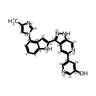 Cc1cn(-c2cccc3[nH]c(-c4n[nH]c5cnc(-c6cncc(O)c6)cc45)cc23)cn1